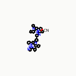 N#Cc1ccc(-c2nc3cc(-c4ccc5c(c4)c4cc6c7ccccc7n(-c7nc(-c8ccccc8)c8cccnc8n7)c6c6c7ccc8ccccc8c7n5c46)ccc3nc2-n2c3ccccc3c3cc4c5ccccc5n5c6c7ccccc7ccc6c(c32)c45)cc1